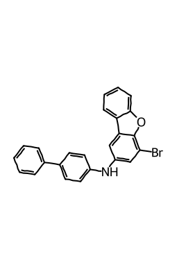 Brc1cc(Nc2ccc(-c3ccccc3)cc2)cc2c1oc1ccccc12